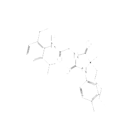 CCCCCC1(C)C(=O)N(CC(=O)Nc2c(C(C)C)cccc2C(C)C)C(=O)N1c1ccc(C)cc1